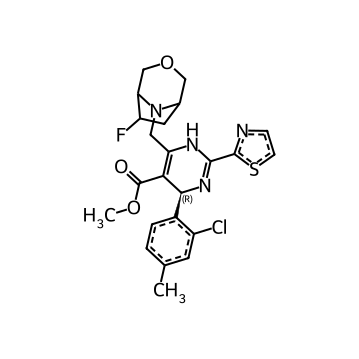 COC(=O)C1=C(CN2C3COCC2C(F)C3)NC(c2nccs2)=N[C@H]1c1ccc(C)cc1Cl